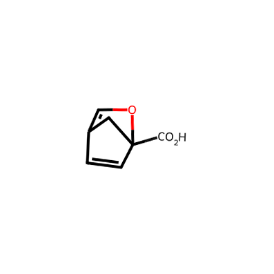 O=C(O)C12C=CC(=CO1)C2